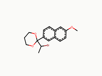 COc1ccc2cc(C3(C(C)Br)OCCCO3)ccc2c1